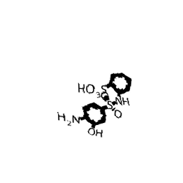 Nc1ccc(S(=O)(=O)Nc2ccccc2S(=O)(=O)O)cc1O